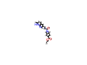 C=C1CCc2cc(/C=C/C(=O)N3CC4C=C(C(=O)OCC)CC4C3)cnc2N1